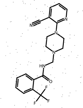 N#Cc1cccnc1N1CCN(CNC(=O)c2ccccc2C(F)(F)F)CC1